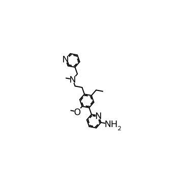 CCc1cc(-c2cccc(N)n2)c(OC)cc1CCN(C)Cc1cccnc1